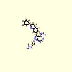 CN(C)CC1CC(n2nc(-c3ccc4ccc(-c5ccccc5)nc4c3)c3c(N)ncnc32)C1